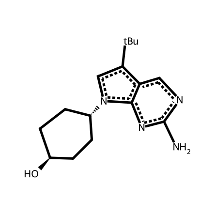 CC(C)(C)c1cn([C@H]2CC[C@H](O)CC2)c2nc(N)ncc12